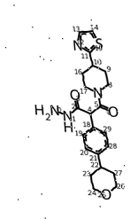 NNC(=O)C(C(=O)N1CCC(c2nccs2)CC1)c1ccc(C2CCOCC2)cc1